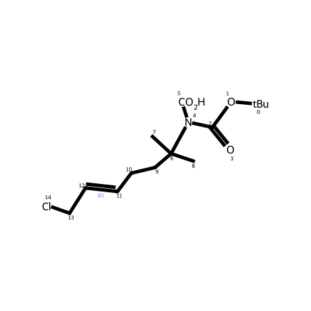 CC(C)(C)OC(=O)N(C(=O)O)C(C)(C)CC/C=C/CCl